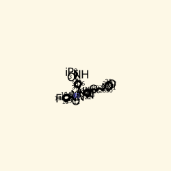 CC(C)NC(=O)[C@H]1CC[C@@H](n2/c(=N/C(=O)c3ccc(F)cc3)[nH]c3cnc(OCCCN4CCOCC4)cc32)CC1